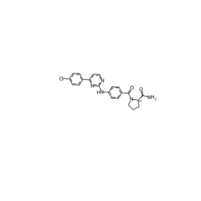 NC(=O)[C@H]1CCCN1C(=O)c1ccc(Nc2nccc(-c3ccc(Cl)cc3)n2)cc1